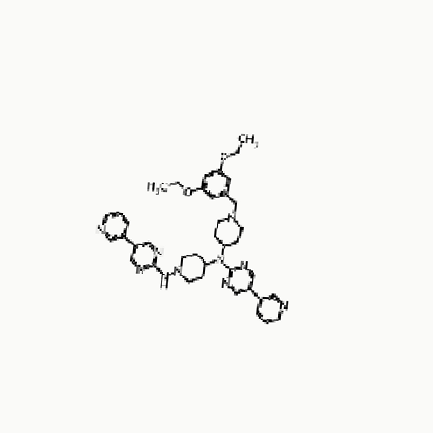 CCOc1cc(CN2CCC(N(c3ncc(-c4cccnc4)cn3)C3CCN(Nc4ncc(-c5cccnc5)cn4)CC3)CC2)cc(OCC)c1